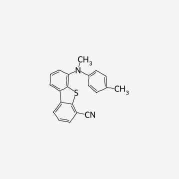 Cc1ccc(N(C)c2cccc3c2sc2c(C#N)cccc23)cc1